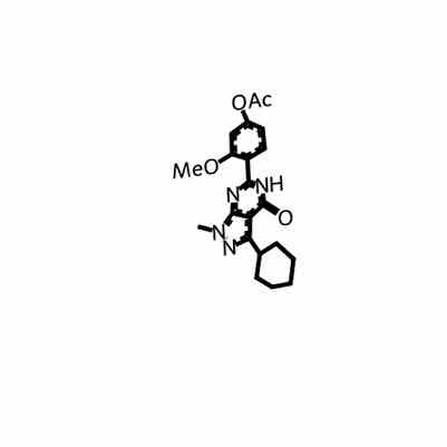 COc1cc(OC(C)=O)ccc1-c1nc2c(c(C3CCCCC3)nn2C)c(=O)[nH]1